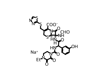 CCN1CCN(C(=O)NC(C(=O)N[C@]2(NC=O)C(=O)N3C(C(=O)[O-])=C(CSc4nncs4)CS[C@@H]32)c2cccc(O)c2)C(=O)C1=O.[Na+]